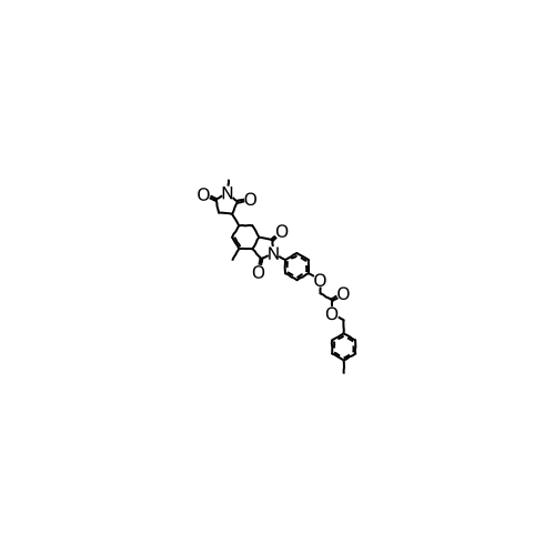 CC1=CC(C2CC(=O)N(C)C2=O)CC2C(=O)N(c3ccc(OCC(=O)OCc4ccc(C)cc4)cc3)C(=O)C12